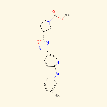 CC(C)(C)OC(=O)N1CC[C@@H](c2nc(-c3ccc(Nc4cccc(C(C)(C)C)c4)nc3)no2)C1